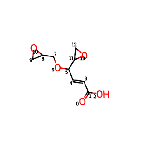 O=C(O)C=CC(OCC1CO1)C1CO1